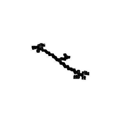 CCCCC(CC)C(=O)OCCCCCCCCCN(CCCCCCCCCOC(O)C(CC)CCCC)CCN(C)C